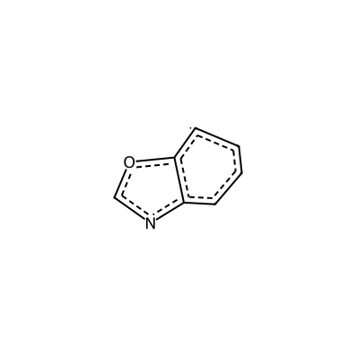 [c]1cccc2ncoc12